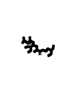 CCN(CC)CCCNC(C)CC(CC(C)NC(C)C)N(CC)CC